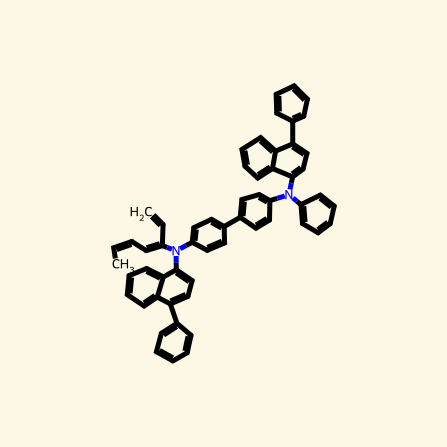 C=C/C(=C\C=C/C)N(c1ccc(-c2ccc(N(c3ccccc3)c3ccc(-c4ccccc4)c4ccccc34)cc2)cc1)c1ccc(-c2ccccc2)c2ccccc12